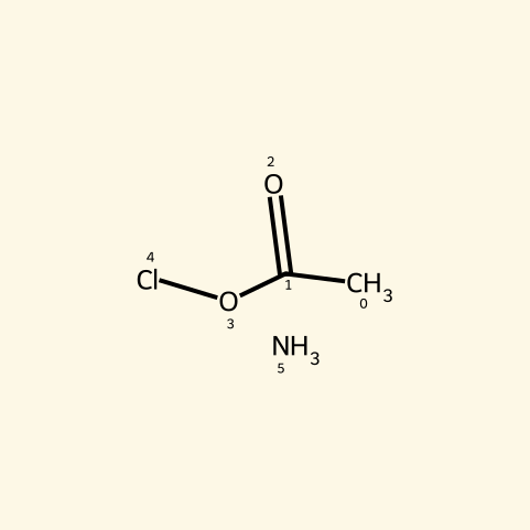 CC(=O)OCl.N